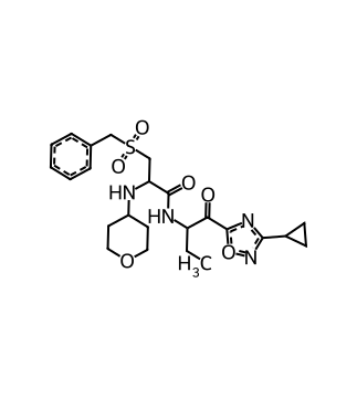 CCC(NC(=O)C(CS(=O)(=O)Cc1ccccc1)NC1CCOCC1)C(=O)c1nc(C2CC2)no1